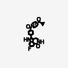 O=C1NCCc2c(-c3ccc(C(=O)N4CCN(C(=O)C5CC5)CC4)cc3)[nH]c3cc(F)cc1c23